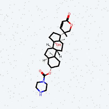 CC1([C@H]2CC[C@]3(O)[C@@H]4CC[C@@H]5C[C@@H](OC(=O)N6CCNCC6)CC[C@]5(C)[C@H]4CC[C@]23C)C=CC(=O)OC1